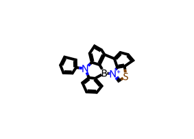 c1ccc(N2c3ccccc3B3c4c(cccc42)-c2cccc4sc[n+]3c24)cc1